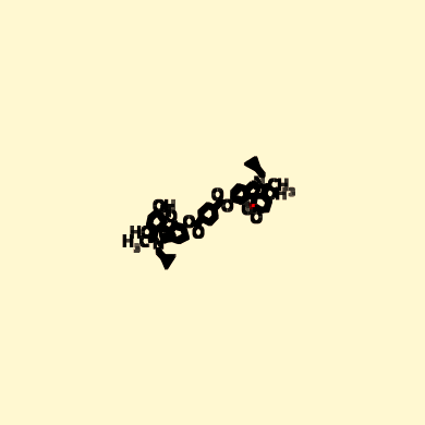 CC1N(CC2CC2)C2C[C@]34c5c2ccc(OC(=O)C2CCC(C(=O)Oc6ccc7c8c6O[C@H]6C(O)CC[C@@]9(O)C(C)N(CC%10CC%10)C7C[C@]869)CC2)c5O[C@H]3C(=O)CC[C@@]14O